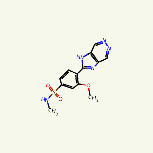 CNS(=O)(=O)c1ccc(-c2nc3cnncc3[nH]2)c(OC)c1